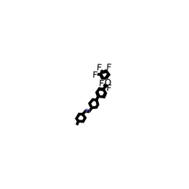 CC1CCC(/C=C/C2CCC(c3ccc(C(F)(F)Oc4cc(F)c(F)c(F)c4)cc3)CC2)CC1